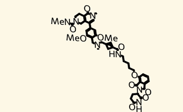 CNC(=O)N1CCc2c(c(-c3cc(OC)c(CN(C)CC45CC(C(=O)NCCCCCOc6cccc7c6C(=O)N(C6CCC(=O)NC6=O)C7=O)(C4)C5)c(OC)c3)cn(C)c2=O)C1